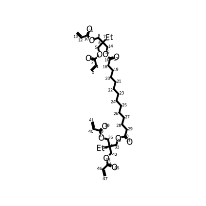 C=CC(=O)OCC(CC)(COC(=O)C=C)COC(=O)CCCCCCCCCCCCC(=O)OCC(CC)(COC(=O)C=C)COC(=O)C=C